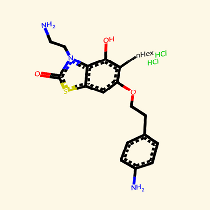 CCCCCCc1c(OCCc2ccc(N)cc2)cc2sc(=O)n(CCN)c2c1O.Cl.Cl